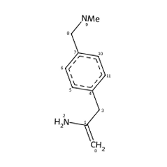 C=C(N)Cc1ccc(CNC)cc1